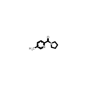 Cc1ccc(C(=O)N2CCCC2)nc1